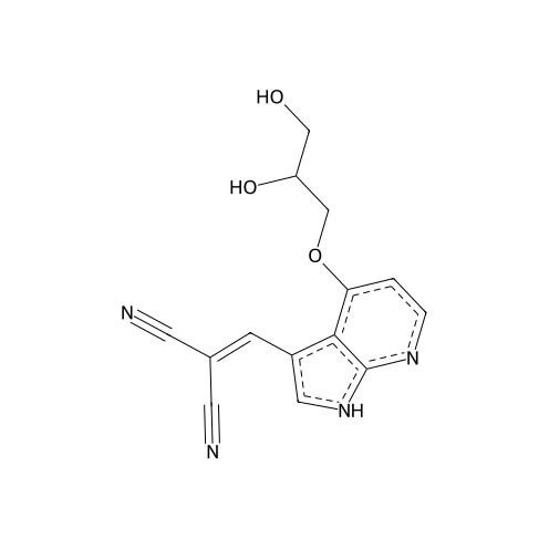 N#CC(C#N)=Cc1c[nH]c2nccc(OCC(O)CO)c12